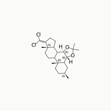 C[C@H]1CC[C@]2(C)C3CC[C@]4(C)C(=C(Cl)Cl)CCC4C3[C@H]3OC(C)(C)O[C@@H]3C2C1